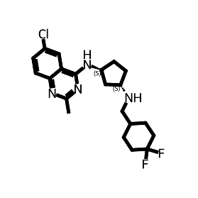 Cc1nc(N[C@H]2CC[C@H](NCC3CCC(F)(F)CC3)C2)c2cc(Cl)ccc2n1